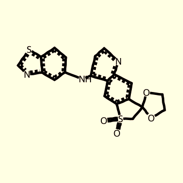 O=S1(=O)CC2(OCCO2)c2cc3nccc(Nc4ccc5scnc5c4)c3cc21